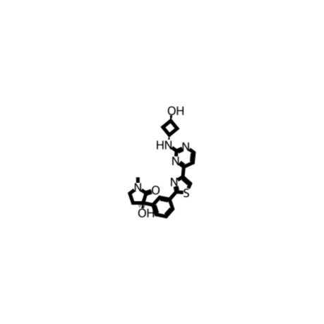 CN1CC[C@@](O)(c2cccc(-c3nc(-c4ccnc(N[C@H]5C[C@H](O)C5)n4)cs3)c2)C1=O